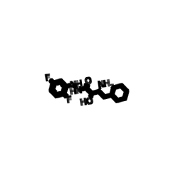 N[C@H](CC1CCCCC1)C(O)C(=O)NNc1cc(F)ccc1F